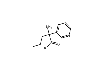 CCCC(N)(C(=O)O)c1cccnc1